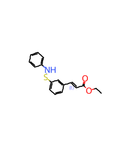 CCOC(=O)/C=C/c1cccc(SNc2ccccc2)c1